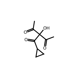 CC(=O)C(O)(C(C)=O)C(=O)C1CC1